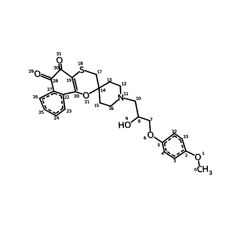 COc1ccc(OCC(O)CN2CCC3(CC2)CSC2=C(O3)c3ccccc3C(=O)C2=O)cc1